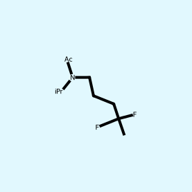 CC(=O)N(CCCC(C)(F)F)C(C)C